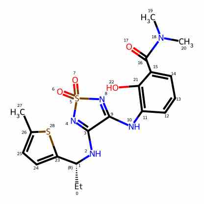 CC[C@@H](NC1=NS(=O)(=O)N=C1Nc1cccc(C(=O)N(C)C)c1O)c1ccc(C)s1